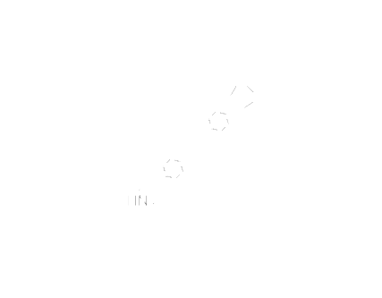 CC1(C)CC(c2ccc(C3CCC(c4ccc(C5C=CC=CC=C5)cc4)CC3)cc2)CC(C)(C)N1